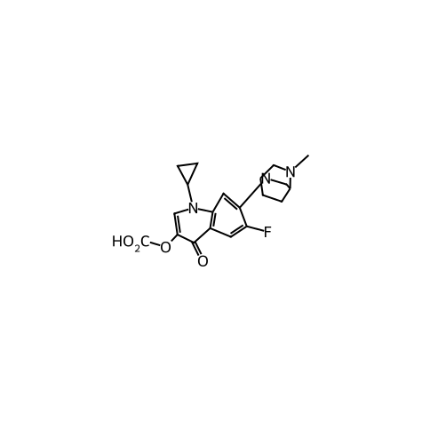 CN1CC2CCC1CN2c1cc2c(cc1F)c(=O)c(OC(=O)O)cn2C1CC1